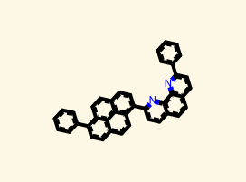 c1ccc(-c2ccc3ccc4ccc(-c5ccc6ccc7c(-c8ccccc8)ccc8ccc5c6c87)nc4c3n2)cc1